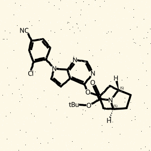 CC(C)(C)OC(=O)N1[C@H]2CC[C@H]1CC(Oc1ncnc3c1ccn3-c1ccc(C#N)cc1Cl)C2